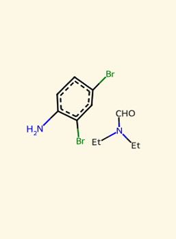 CCN(C=O)CC.Nc1ccc(Br)cc1Br